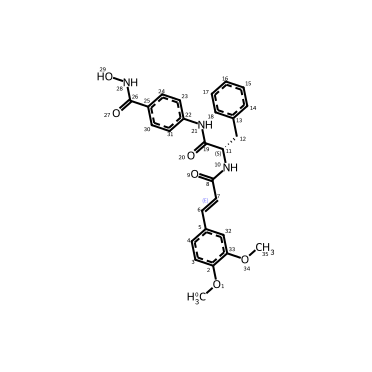 COc1ccc(/C=C/C(=O)N[C@@H](Cc2ccccc2)C(=O)Nc2ccc(C(=O)NO)cc2)cc1OC